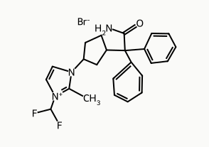 Cc1n(C2CCC(C(C(N)=O)(c3ccccc3)c3ccccc3)C2)cc[n+]1C(F)F.[Br-]